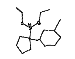 CCO[SiH](OCC)C1(C2CCCC(C)C2)CCCC1